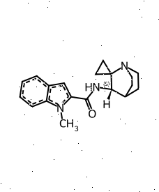 Cn1c(C(=O)N[C@H]2C3CCN(CC3)C23CC3)cc2ccccc21